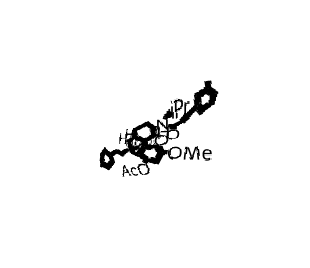 COc1cc(OC(C)=O)c2c3c1O[C@H]1[C@@H](N(CC(C)C)C(=O)C#Cc4cccc(C)c4)CC[C@H]4[C@@H](C2)N(CCc2ccccc2)CC[C@@]341